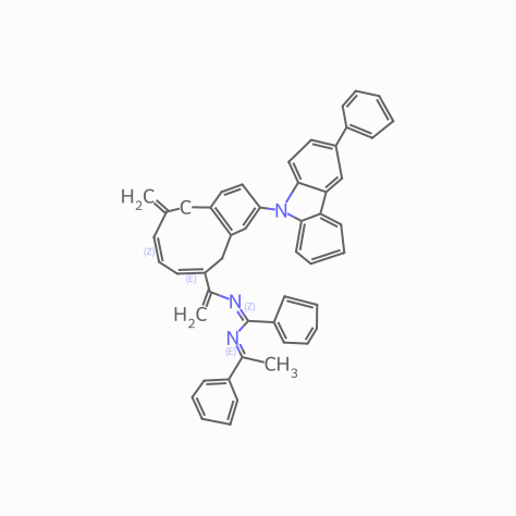 C=C1/C=C\C=C(\C(=C)/N=C(\N=C(/C)c2ccccc2)c2ccccc2)Cc2cc(-n3c4ccccc4c4cc(-c5ccccc5)ccc43)ccc2C1